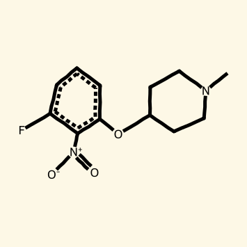 CN1CCC(Oc2cccc(F)c2[N+](=O)[O-])CC1